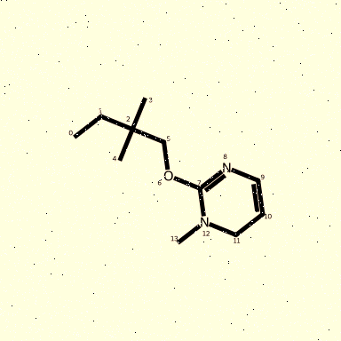 CCC(C)(C)COC1=NC=CCN1C